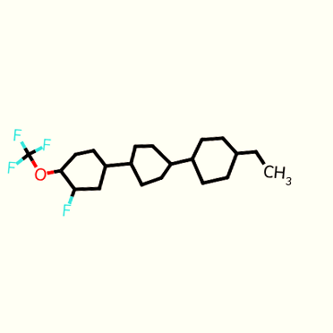 CCC1CCC(C2CCC(C3CCC(OC(F)(F)F)C(F)C3)CC2)CC1